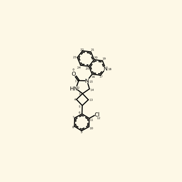 O=C1NC2(CC(c3ccccc3Cl)C2)CN1c1cncc2ccccc12